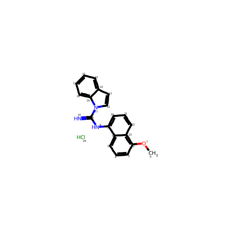 COc1cccc2c(NC(=N)n3ccc4ccccc43)cccc12.Cl